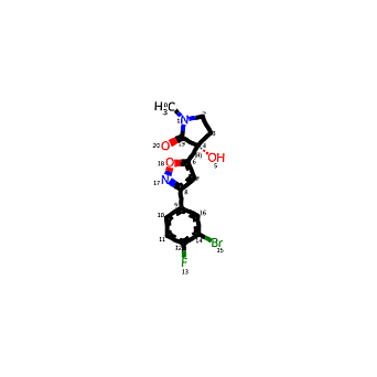 CN1CC[C@@](O)(c2cc(-c3ccc(F)c(Br)c3)no2)C1=O